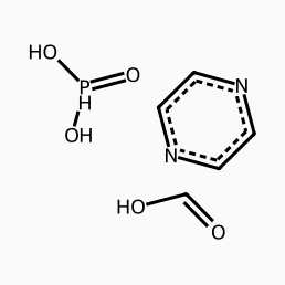 O=CO.O=[PH](O)O.c1cnccn1